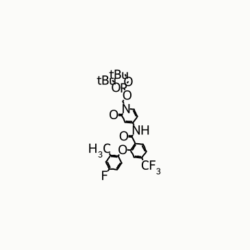 Cc1cc(F)ccc1Oc1cc(C(F)(F)F)ccc1C(=O)Nc1ccn(COP(OC(C)(C)C)OC(C)(C)C)c(=O)c1